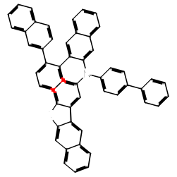 c1ccc(-c2ccc(N(c3ccc4sc5cc6ccccc6cc5c4c3)c3cc4ccccc4cc3-c3ccccc3-c3ccc4ccccc4c3)cc2)cc1